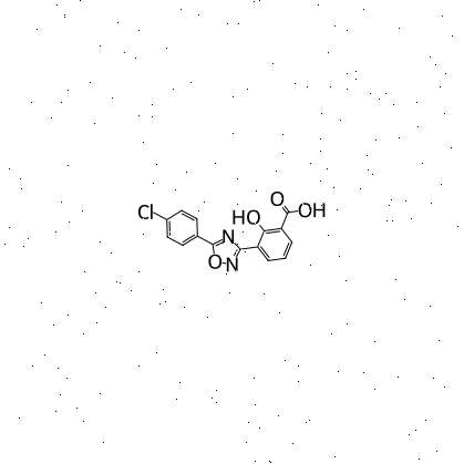 O=C(O)c1cccc(-c2noc(-c3ccc(Cl)cc3)n2)c1O